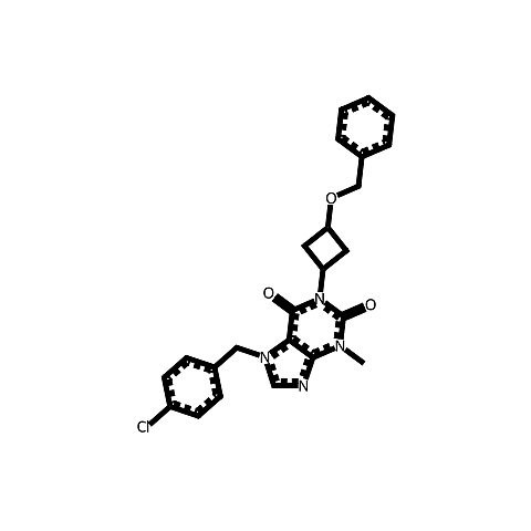 Cn1c(=O)n(C2CC(OCc3ccccc3)C2)c(=O)c2c1ncn2Cc1ccc(Cl)cc1